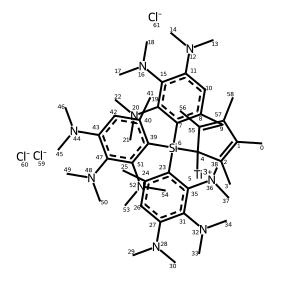 CC1=C(C)[C]([Ti+3])([Si](c2c(C)cc(N(C)C)c(N(C)C)c2N(C)C)(c2c(C)cc(N(C)C)c(N(C)C)c2N(C)C)c2c(C)cc(N(C)C)c(N(C)C)c2N(C)C)C(C)=C1C.[Cl-].[Cl-].[Cl-]